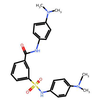 CN(C)c1ccc(NC(=O)c2cccc(S(=O)(=O)Nc3ccc(N(C)C)cc3)c2)cc1